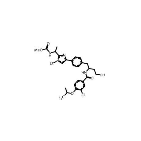 CCn1cc(-c2ccc(CC(CCO)NC(=O)c3ccc(OC(C)C(F)(F)F)c(Cl)c3)cc2)nc1C(C)NC(=O)OC